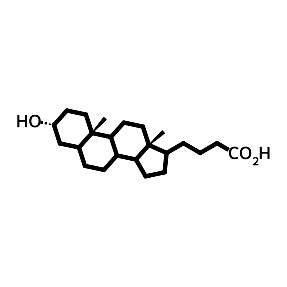 C[C@]12CC[C@@H](O)CC1CCC1C2CC[C@]2(C)C(CCCC(=O)O)CCC12